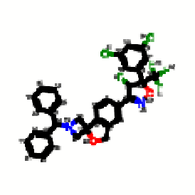 FC1C(c2ccc3c(c2)COC32CN(C(c3ccccc3)c3ccccc3)C2)=NOC1(c1cc(Cl)cc(Cl)c1)C(F)(F)F